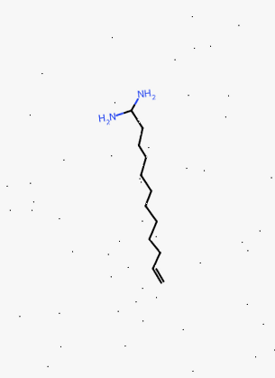 C=CCCCCCCCCCC(N)N